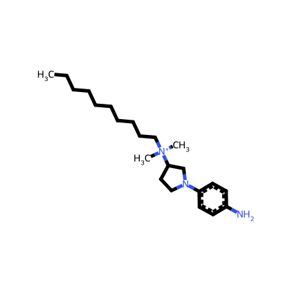 CCCCCCCCCC[N+](C)(C)C1CCN(c2ccc(N)cc2)C1